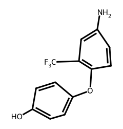 Nc1ccc(Oc2ccc(O)cc2)c(C(F)(F)F)c1